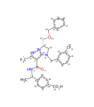 CC(NC(=O)c1c(C(F)(F)F)nn2c1N(Cc1cccc(C(F)(F)F)c1)C[C@H]2COCc1ccccc1)c1ccc(C(=O)O)cc1